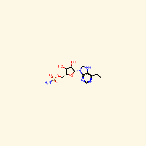 CCc1ncnc2c1NCN2[C@@H]1O[C@H](COS(N)(=O)=O)[C@@H](O)[C@H]1O